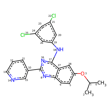 CC(C)Oc1ccc2nc(-c3cccnc3)nc(Nc3cc(Cl)cc(Cl)c3)c2c1